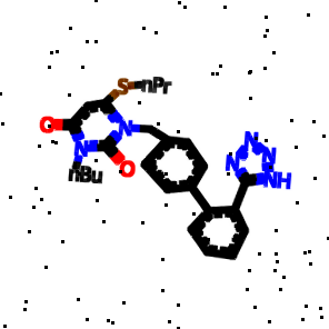 CCCCn1c(=O)cc(SCCC)n(Cc2ccc(-c3ccccc3-c3nnn[nH]3)cc2)c1=O